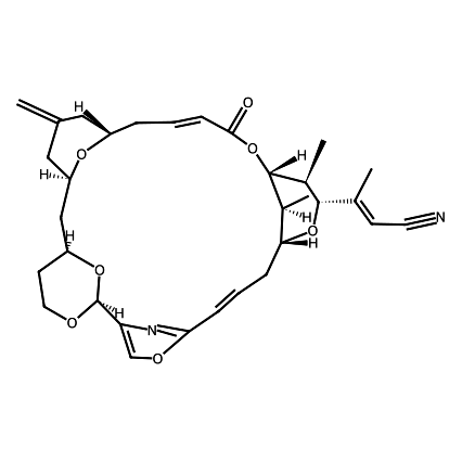 C=C1C[C@@H]2C[C@@H]3CCO[C@@H](O3)c3coc(n3)/C=C/C[C@H]3O[C@@H](/C(C)=C/C#N)[C@H](C)[C@@H](OC(=O)/C=C/C[C@@H](C1)O2)[C@H]3C